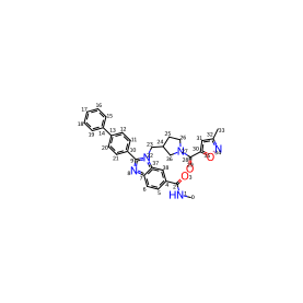 CNC(=O)c1ccc2nc(-c3ccc(-c4ccccc4)cc3)n(CC3CCN(C(=O)c4cc(C)no4)C3)c2c1